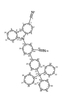 N#Cc1ccc2c(c1)c1ccccc1n2-c1ccc(-c2ccc([Si](c3ccccc3)(c3ccccc3)c3ccccc3)cc2)c(C#N)c1